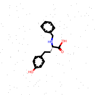 O=C(O)[C@H](CCc1ccc(O)cc1)NCc1ccccc1